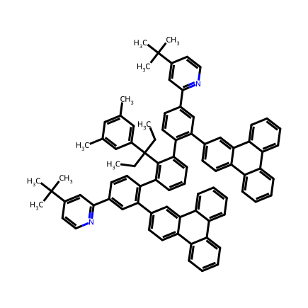 CCC(CC)(c1cc(C)cc(C)c1)c1c(-c2ccc(-c3cc(C(C)(C)C)ccn3)cc2-c2ccc3c4ccccc4c4ccccc4c3c2)cccc1-c1ccc(-c2cc(C(C)(C)C)ccn2)cc1-c1ccc2c3ccccc3c3ccccc3c2c1